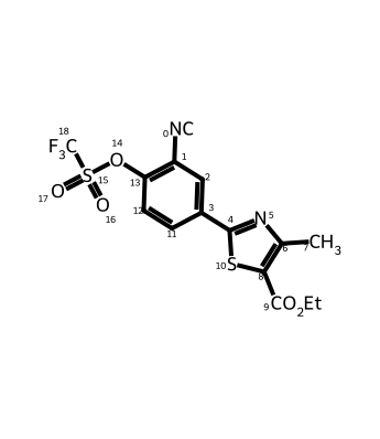 [C-]#[N+]c1cc(-c2nc(C)c(C(=O)OCC)s2)ccc1OS(=O)(=O)C(F)(F)F